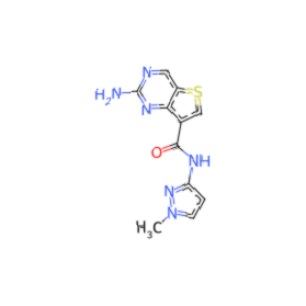 Cn1ccc(NC(=O)c2csc3cnc(N)nc23)n1